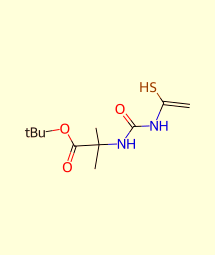 C=C(S)NC(=O)NC(C)(C)C(=O)OC(C)(C)C